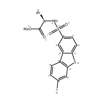 COC(=O)[C@H](NS(=O)(=O)c1ccc2sc3cc(I)ccc3c2c1)C(C)C